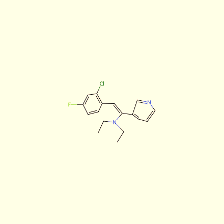 CCN(CC)C(=Cc1ccc(F)cc1Cl)c1cccnc1